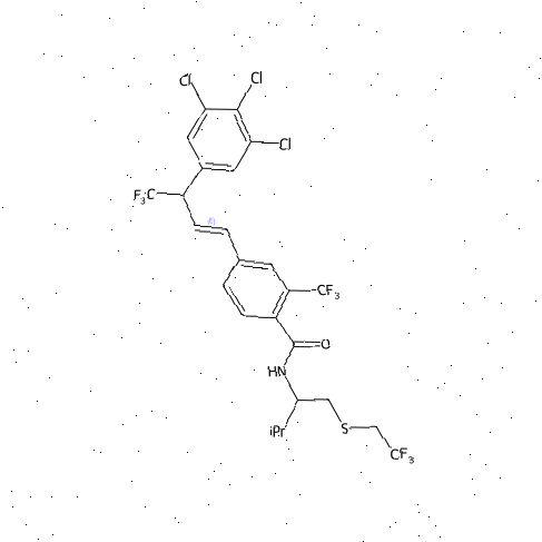 CC(C)C(CSCC(F)(F)F)NC(=O)c1ccc(/C=C/C(c2cc(Cl)c(Cl)c(Cl)c2)C(F)(F)F)cc1C(F)(F)F